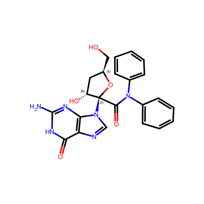 Nc1nc2c(ncn2[C@]2(C(=O)N(c3ccccc3)c3ccccc3)O[C@H](CO)C[C@H]2O)c(=O)[nH]1